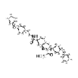 O=C(O)C(=O)NC(Cc1ccc(C(=O)NCCc2ccc(Oc3ccccc3)cc2)cc1Br)c1ccc(Oc2ccccc2)cc1